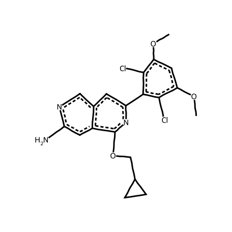 COc1cc(OC)c(Cl)c(-c2cc3cnc(N)cc3c(OCC3CC3)n2)c1Cl